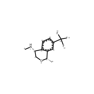 CN[C@H]1CO[C@@H](C)c2cc(C(F)(F)F)ccc21